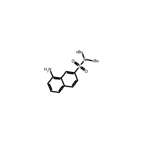 CCCCN(CCCC)S(=O)(=O)c1ccc2cccc(N)c2c1